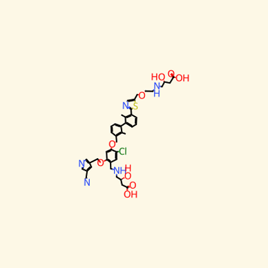 Cc1c(COc2cc(OCc3cncc(C#N)c3)c(CNC[C@@H](O)CC(=O)O)cc2Cl)cccc1-c1cccc(-c2ncc(COCCNC[C@@H](O)CC(=O)O)s2)c1C